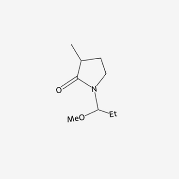 CCC(OC)N1CCC(C)C1=O